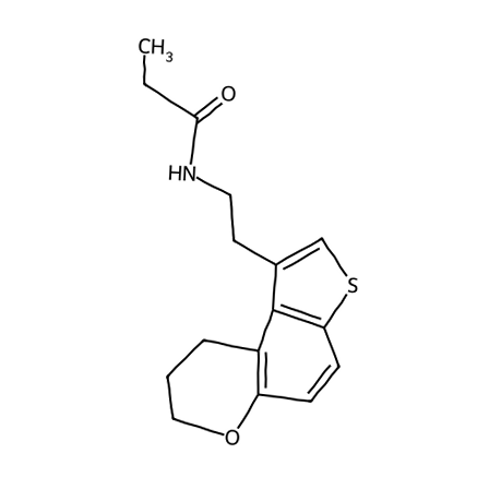 CCC(=O)NCCc1csc2ccc3c(c12)CCCO3